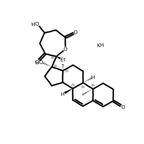 CC[C@]1([C@]2(O)CCC3[C@H]4C=CC5=CC(=O)CC[C@]5(C)[C@@H]4CC[C@@]32C)OC(=O)CC(O)CC1=O.[KH]